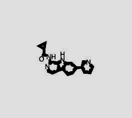 O=C(Nc1nccc2c1[nH]c1cc(-c3cccnc3)ccc12)C1CC1